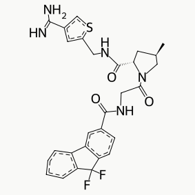 C[C@@H]1C[C@@H](C(=O)NCc2cc(C(=N)N)cs2)N(C(=O)CNC(=O)c2ccc3c(c2)-c2ccccc2C3(F)F)C1